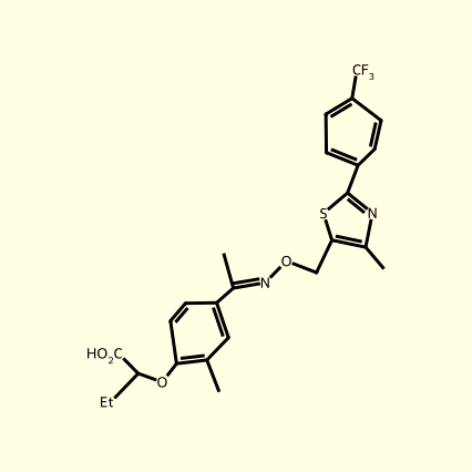 CCC(Oc1ccc(/C(C)=N/OCc2sc(-c3ccc(C(F)(F)F)cc3)nc2C)cc1C)C(=O)O